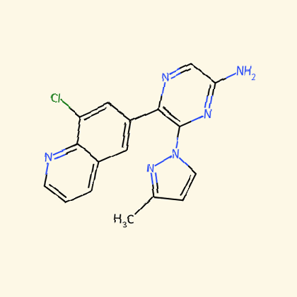 Cc1ccn(-c2nc(N)cnc2-c2cc(Cl)c3ncccc3c2)n1